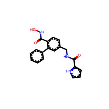 O=C(NCc1ccc(C(=O)NO)c(-c2ccccc2)c1)c1ccc[nH]1